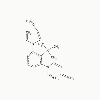 C=C/C=C\N(C=C)c1cccc(N(C=C)/C=C\C=C)c1C(C)(C)C